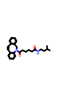 CC(C)CCNC(=O)CCCCC(=O)N1Cc2ccccc2C#Cc2ccccc21